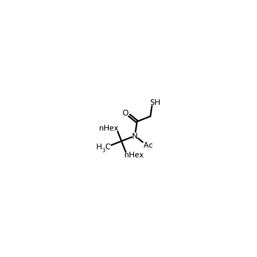 CCCCCCC(C)(CCCCCC)N(C(C)=O)C(=O)CS